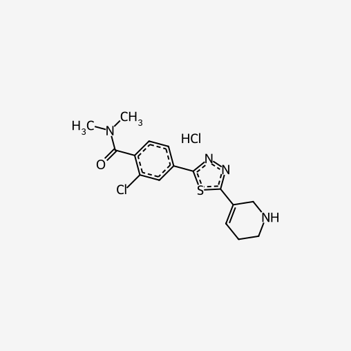 CN(C)C(=O)c1ccc(-c2nnc(C3=CCCNC3)s2)cc1Cl.Cl